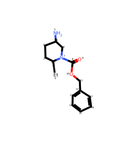 CCC1CCC(N)CN1C(=O)OCc1ccccc1